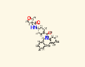 Cc1occc1C(=O)Nc1ccc(C(=O)N2Cc3ccccc3Cc3ccccc32)cc1